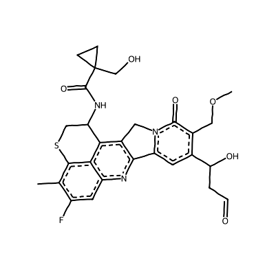 COCc1c(C(O)CC=O)cc2n(c1=O)Cc1c-2nc2cc(F)c(C)c3c2c1C(NC(=O)C1(CO)CC1)CS3